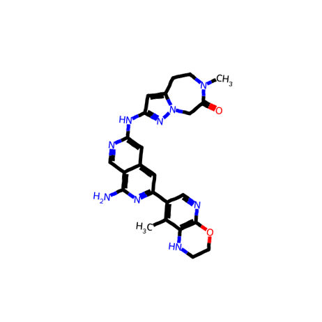 Cc1c(-c2cc3cc(Nc4cc5n(n4)CC(=O)N(C)CC5)ncc3c(N)n2)cnc2c1NCCO2